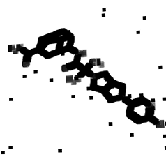 CC(C)(C(=O)NC1C2CC3CC1CC(C(N)=O)(C3)C2)N1CC2CN(c3ccc(Cl)nc3)CC2C1